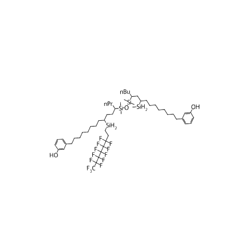 CCCCC(CC(CCCCCCCCc1cccc(O)c1)[SiH2]C)[Si](C)(C)O[Si](C)(C)C(CCC)CCC(CCCCCCCCc1cccc(O)c1)[SiH2]CCC(F)(F)C(F)(F)C(F)(F)C(F)(F)C(F)(F)C(F)(F)F